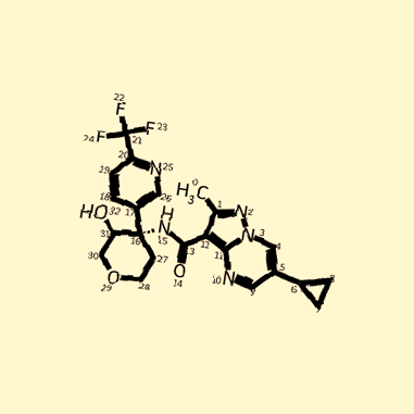 Cc1nn2cc(C3CC3)cnc2c1C(=O)N[C@]1(c2ccc(C(F)(F)F)nc2)CCOC[C@H]1O